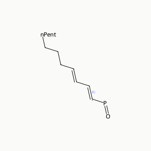 CCCCCCCCC=C/C=[C]/P=O